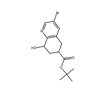 CC(C)(C)OC(=O)N1Cc2cc(Br)cnc2C(O)C1